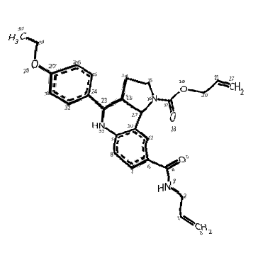 C=CCNC(=O)c1ccc2c(c1)C1C(CCN1C(=O)OCC=C)C(c1ccc(OCC)cc1)N2